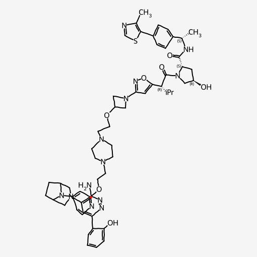 Cc1ncsc1-c1ccc([C@H](C)NC(=O)[C@@H]2C[C@@H](O)CN2C(=O)[C@@H](c2cc(N3CC(OCCN4CCN(CCOc5cc(N6C7CCC6CN(c6cc(-c8ccccc8O)nnc6N)C7)ccn5)CC4)C3)no2)C(C)C)cc1